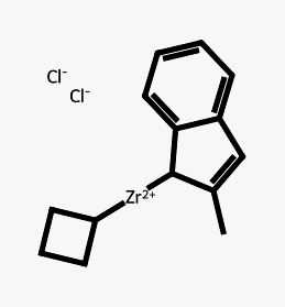 CC1=Cc2ccccc2[CH]1[Zr+2][CH]1CCC1.[Cl-].[Cl-]